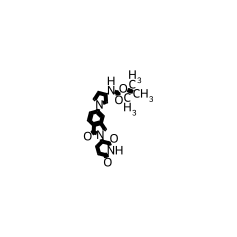 CC(C)(C)OC(=O)N[C@H]1CCN(c2ccc3c(c2)CN(C2CCC(=O)NC2=O)C3=O)C1